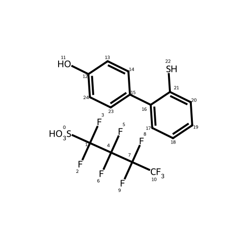 O=S(=O)(O)C(F)(F)C(F)(F)C(F)(F)C(F)(F)F.Oc1ccc(-c2ccccc2S)cc1